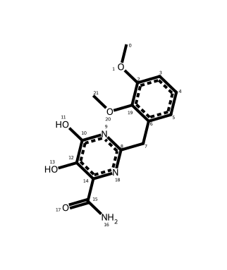 COc1cccc(Cc2nc(O)c(O)c(C(N)=O)n2)c1OC